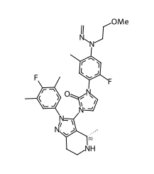 C=NN(CCOC)c1cc(F)c(-n2ccn(-c3c4c(nn3-c3cc(C)c(F)c(C)c3)CCN[C@H]4C)c2=O)cc1C